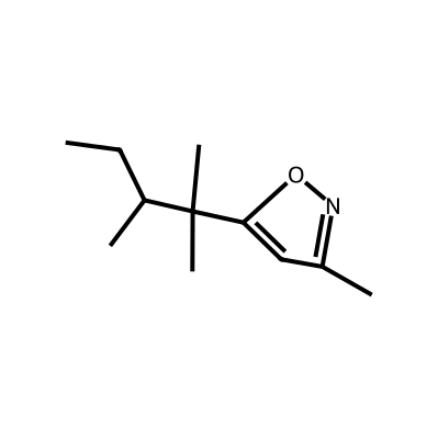 CCC(C)C(C)(C)c1cc(C)no1